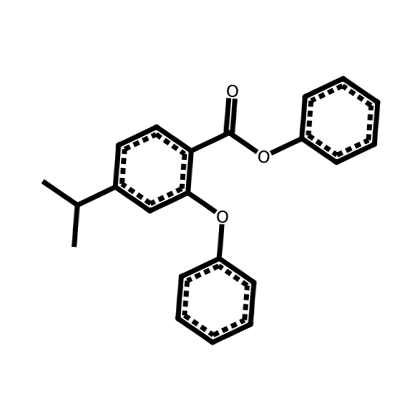 CC(C)c1ccc(C(=O)Oc2ccccc2)c(Oc2ccccc2)c1